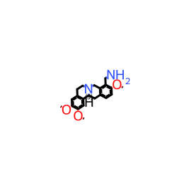 COc1cc2c(cc1OC)[C@@H]1Cc3ccc(OC)c(CN)c3CN1CC2